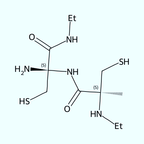 CCNC(=O)[C@@](N)(CS)NC(=O)[C@@](C)(CS)NCC